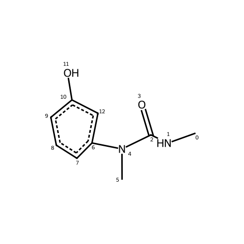 CNC(=O)N(C)c1cccc(O)c1